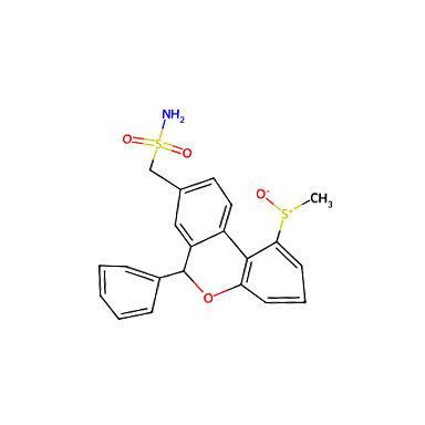 C[S+]([O-])c1cccc2c1-c1ccc(CS(N)(=O)=O)cc1C(c1ccccc1)O2